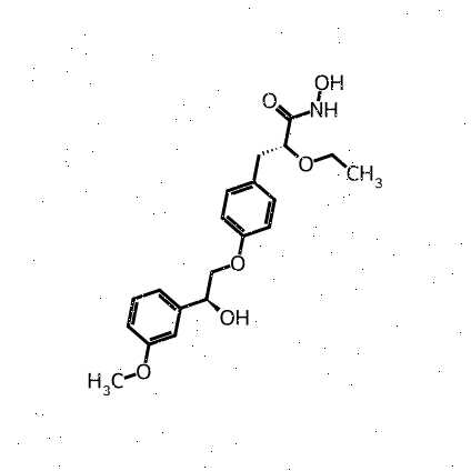 CCO[C@H](Cc1ccc(OC[C@@H](O)c2cccc(OC)c2)cc1)C(=O)NO